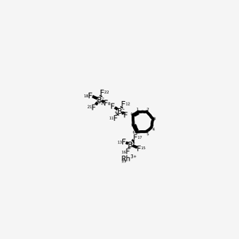 C1=C\CCCC\C=C/1.F[B-](F)(F)F.F[B-](F)(F)F.F[B-](F)(F)F.[Rh+3]